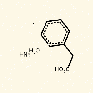 O.O=C(O)Cc1ccccc1.[NaH]